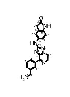 NCc1cccc(-c2nccn3nc(Nc4ccc5c(c4)CC(=O)N5)nc23)c1